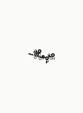 CCCCC[C@@H](C(=O)NCNC(=O)c1ccc(-c2cc(OCC)cc(C(=O)C(O)c3ccccc3)c2)o1)[C@@H](CC)N(C=O)OCc1ccccc1